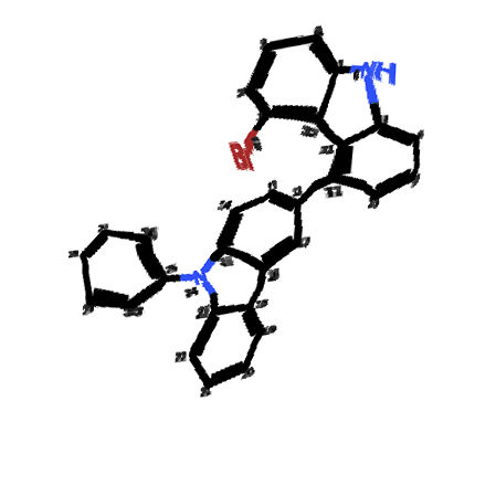 Brc1cccc2[nH]c3cccc(-c4ccc5c(c4)c4ccccc4n5-c4ccccc4)c3c12